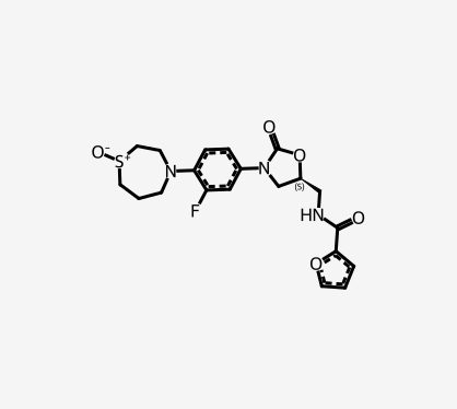 O=C(NC[C@H]1CN(c2ccc(N3CCC[S+]([O-])CC3)c(F)c2)C(=O)O1)c1ccco1